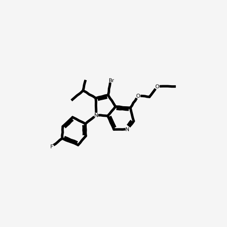 COCOc1cncc2c1c(Br)c(C(C)C)n2-c1ccc(F)cc1